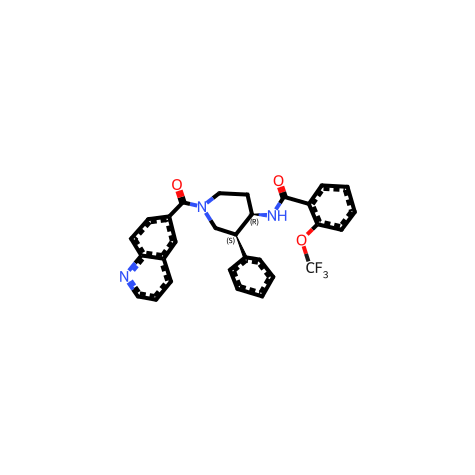 O=C(N[C@@H]1CCN(C(=O)c2ccc3ncccc3c2)C[C@@H]1c1ccccc1)c1ccccc1OC(F)(F)F